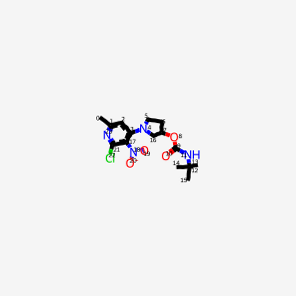 Cc1cc(N2CCC(OC(=O)NC(C)(C)C)C2)c([N+](=O)[O-])c(Cl)n1